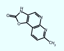 Cc1ccc2c(ncc3[nH]c(=O)oc32)n1